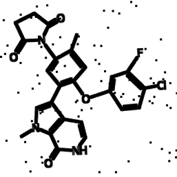 Cc1cc(Oc2ccc(Cl)c(F)c2)c(-c2cn(C)c3c(=O)[nH]ccc23)cc1N1C(=O)CCC1=O